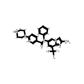 Cc1cn2cc(N(C(=O)c3ccc(N4CCNCC4)nc3)c3ccccc3)cc(C(F)(F)F)c2n1